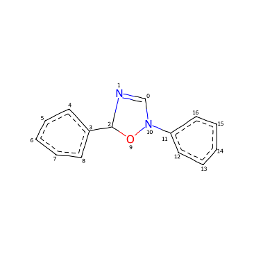 C1=NC(c2ccccc2)ON1c1ccccc1